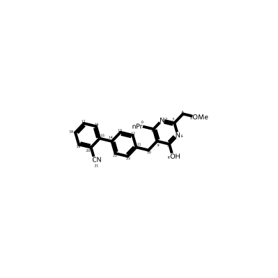 CCCc1nc(COC)nc(O)c1Cc1ccc(-c2ccccc2C#N)cc1